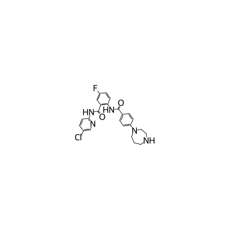 O=C(Nc1ccc(F)cc1C(=O)Nc1ccc(Cl)cn1)c1ccc(N2CCCNCC2)cc1